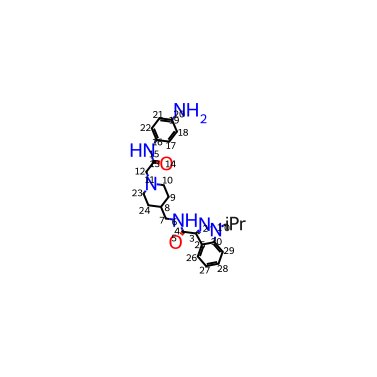 CC(C)n1nc(C(=O)NCC2CCN(CC(=O)Nc3ccc(N)cc3)CC2)c2ccccc21